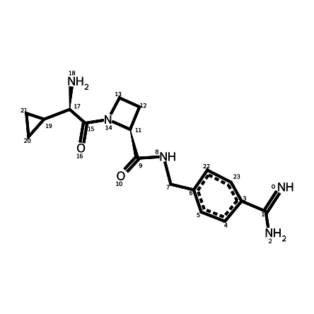 N=C(N)c1ccc(CNC(=O)[C@@H]2CCN2C(=O)[C@H](N)C2CC2)cc1